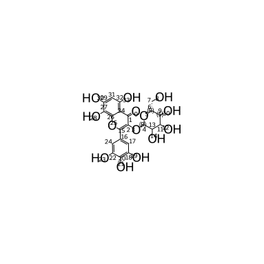 O=c1c(O[C@H]2O[C@H](CO)[C@@H](O)C(O)C2O)c(-c2cc(O)c(O)c(O)c2)oc2c(O)c(O)cc(O)c12